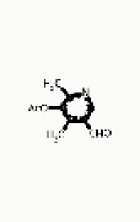 CC(=O)Oc1c(C)ncc(C=O)c1C